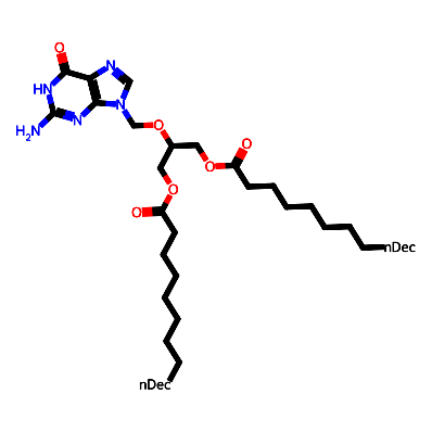 CCCCCCCCCCCCCCCCCC(=O)OCC(COC(=O)CCCCCCCCCCCCCCCCC)OCn1cnc2c(=O)[nH]c(N)nc21